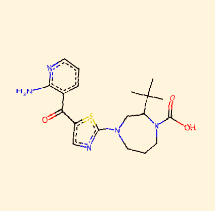 CC(C)(C)C1CN(c2ncc(C(=O)c3cccnc3N)s2)CCCN1C(=O)O